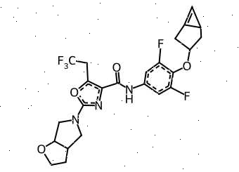 O=C(Nc1cc(F)c(OC2CC3=CC3C2)c(F)c1)c1nc(N2CC3CCOC3C2)oc1CC(F)(F)F